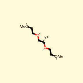 COCCOCCOCCOC.[Y+3]